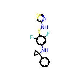 Fc1cc(NC2(c3ccccc3)CC2)cc(F)c1SNc1cscn1